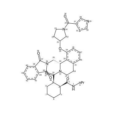 CCCNC(=O)[C@H]1CCCC[C@H]1C(=O)N1CCc2cccc(OC3CCN(C(=O)c4cncs4)C3)c2[C@H]1CN1C(=O)c2ccccc2C1=O